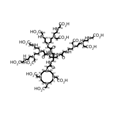 O=C(O)CNCCN(CCN(CCNCC(=O)NCC(CNC(=O)CN(CCNCC(=O)O)CCN(CCNCC(=O)O)CC(=O)O)(CNC(=O)CN(CCNCC(=O)O)CCN(CCNCC(=O)O)CC(=O)O)CNC(=O)CN1CCN(CC(=O)O)CCN(CC(=O)O)CCN(CC(=O)O)CC1)CC(=O)O)CC(=O)O